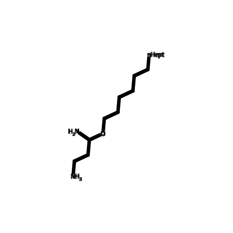 CCCCCCCCCCCCCOC(N)CCN